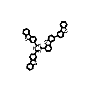 c1ccc2c(c1)sc1cc(-c3nc(-c4ccc5c(c4)sc4ccccc45)nc(-c4cccc5c4sc4ccc(-c6ccc7sc8ccccc8c7c6)cc45)n3)ccc12